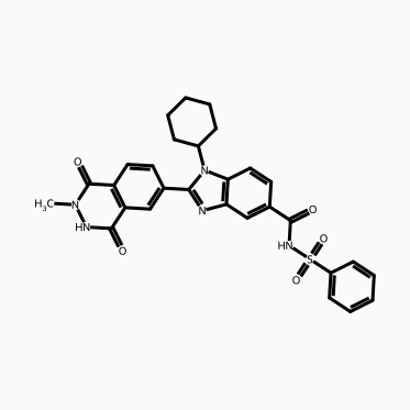 Cn1[nH]c(=O)c2cc(-c3nc4cc(C(=O)NS(=O)(=O)c5ccccc5)ccc4n3C3CCCCC3)ccc2c1=O